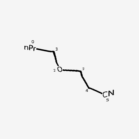 [CH2]CCCOCCC#N